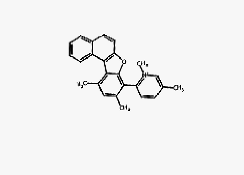 Cc1ccc(-c2c(C)cc(C)c3c2oc2ccc4ccccc4c23)[n+](C)c1